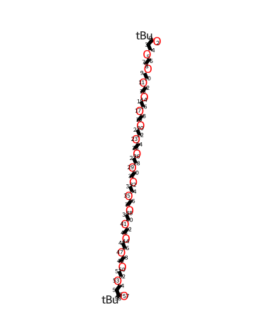 CC(C)(C)C(=O)CCOCCOCCOCCOCCOCCOCCOCCOCCOCCOCCOCCOCCOCCOCCOCCOCCOCCC(=O)C(C)(C)C